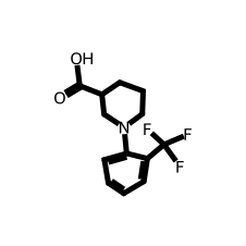 O=C(O)C1CCCN(c2ccccc2C(F)(F)F)C1